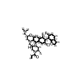 C=CC(=O)N1C[C@H]2CN3C[C@@H](CN(C)C)Oc4nc5c(F)c(-c6c(F)ccc7ccoc67)c(Cl)cc5c(c43)N2C[C@H]1C